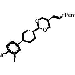 CCCCCC=C[C@H]1CO[C@H]([C@H]2CC[C@H](c3ccc(C#N)c(F)c3)CC2)OC1